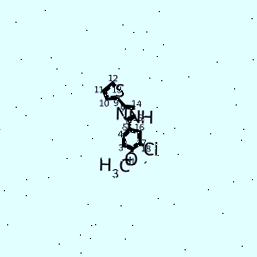 COc1ccc(-c2nc(-c3cccs3)c[nH]2)cc1Cl